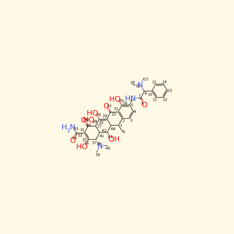 CC1c2ccc(NC(=O)C(c3ccccc3)N(C)C)c(O)c2C(=O)C2=C(O)[C@]3(O)C(=O)C(C(N)=O)=C(O)[C@@H](N(C)C)C3C(O)C21